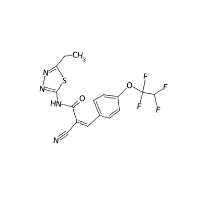 CCc1nnc(NC(=O)C(C#N)=Cc2ccc(OC(F)(F)C(F)F)cc2)s1